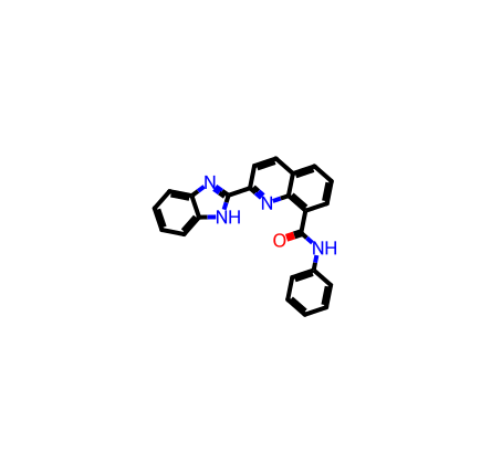 O=C(Nc1ccccc1)c1cccc2ccc(-c3nc4ccccc4[nH]3)nc12